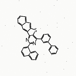 c1ccc(-c2cccc(-c3nc(-c4cccc5ccccc45)nc4c3sc3cc5ccccc5cc34)c2)cc1